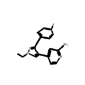 CCn1cc(-c2ccnc(N)c2)c(-c2ccc(F)cc2)n1